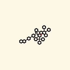 c1ccc(-c2c(-c3ccccc3)c3cc(-c4ccccc4N(c4ccc(-c5ccc(-c6ccc7ccccc7c6)cc5)cc4)c4cccc5c4-c4ccccc4C5(c4ccccc4)c4ccccc4)ccc3c3ccccc23)cc1